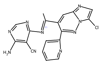 C/C(=N\c1ncnc(N)c1C#N)c1cc2ncc(Cl)n2nc1-c1ccccn1